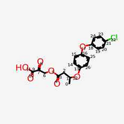 CC(CC(=O)OCC(=O)C(=O)O)Oc1ccc(Oc2ccc(Cl)cc2)cc1